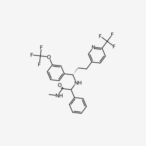 CNC(=O)C(N[C@@H](CCc1ccc(C(F)(F)F)nc1)c1cccc(OC(F)(F)F)c1)c1ccccc1